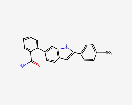 NC(=O)c1ccccc1-c1ccc2cc(-c3ccc([N+](=O)[O-])cc3)[nH]c2c1